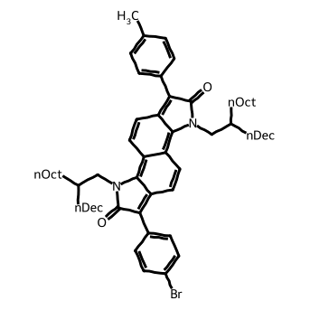 CCCCCCCCCCC(CCCCCCCC)CN1C(=O)C(c2ccc(C)cc2)=c2ccc3c4c(ccc3c21)=C(c1ccc(Br)cc1)C(=O)N4CC(CCCCCCCC)CCCCCCCCCC